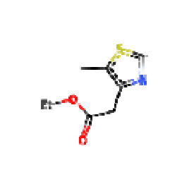 CCOC(=O)Cc1n[c]sc1C